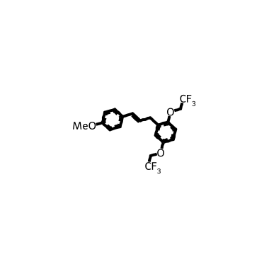 COc1ccc(C=CCc2cc(OCC(F)(F)F)ccc2OCC(F)(F)F)cc1